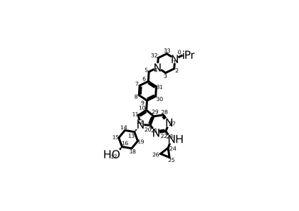 CC(C)N1CCN(Cc2ccc(-c3cn([C@H]4CC[C@H](O)CC4)c4nc(NC5CC5)ncc34)cc2)CC1